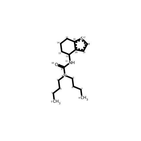 CCCCN(CCCC)C(=O)NC1CCCc2sccc21